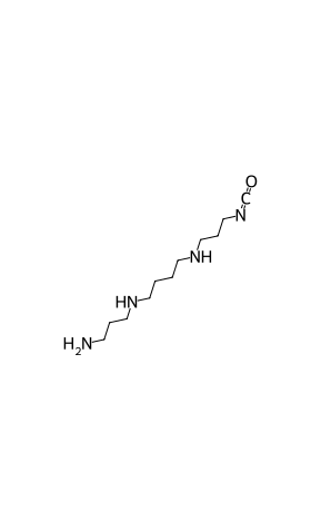 NCCCNCCCCNCCCN=C=O